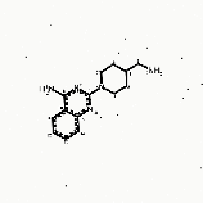 NCC1CCN(c2nc(N)c3ccccc3n2)CC1